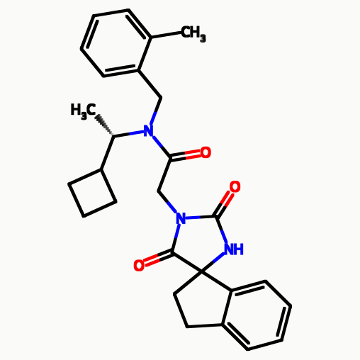 Cc1ccccc1CN(C(=O)CN1C(=O)NC2(CCc3ccccc32)C1=O)[C@@H](C)C1CCC1